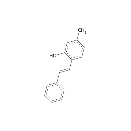 Cc1ccc(C=Cc2ccccc2)c(O)c1